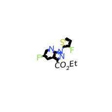 CCOC(=O)c1nn(-c2sccc2F)c2ncc(F)cc12